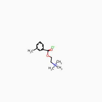 Cc1cccc(C(=O)OCC[N+](C)(C)C)c1.[Cl-]